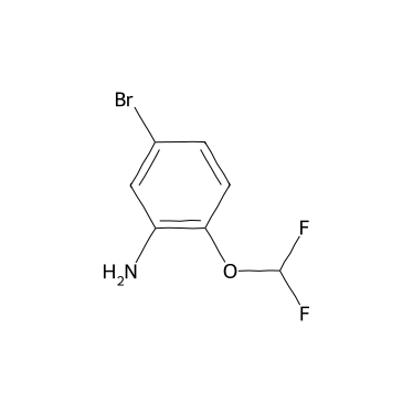 Nc1cc(Br)ccc1OC(F)F